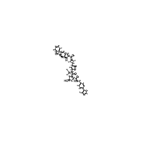 Cc1ncsc1-c1ccc(CNC(=O)[C@@H]2C[C@@H](O)CN2C(=O)[C@H](c2cc(C3CN(C(=O)c4cc5cc(-c6ccccc6O)nnc5[nH]4)C3)no2)C(C)C)cc1